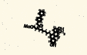 COCCN(CCCCCC[C@@H]1Cc2cc(O)ccc2C2C1C1CC[C@H](O)[C@@]1(C)C[C@@H]2F)C(=O)Cc1ccc(-c2ccccc2)cc1